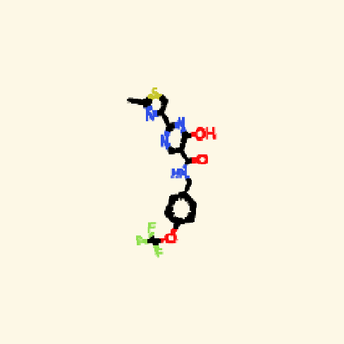 Cc1nc(-c2ncc(C(=O)NCc3ccc(OC(F)(F)F)cc3)c(O)n2)cs1